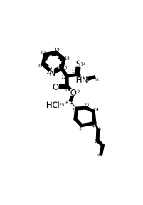 CCCC[C@H]1CC[C@H](COC(=O)C(C(=S)NC)c2ccccn2)CC1.Cl